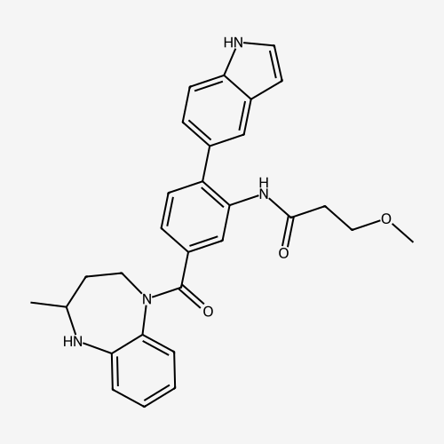 COCCC(=O)Nc1cc(C(=O)N2CCC(C)Nc3ccccc32)ccc1-c1ccc2[nH]ccc2c1